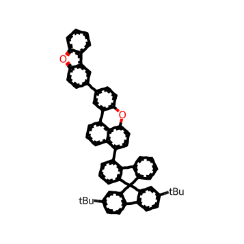 CC(C)(C)c1ccc2c(c1)C1(c3cc(C(C)(C)C)ccc3-2)c2ccccc2-c2c(-c3ccc4c5c(cccc35)-c3cc(-c5ccc6oc7ccccc7c6c5)ccc3O4)cccc21